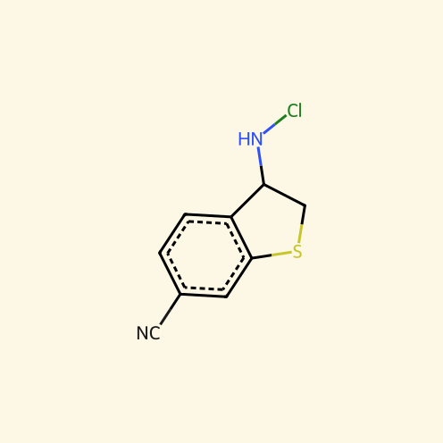 N#Cc1ccc2c(c1)SCC2NCl